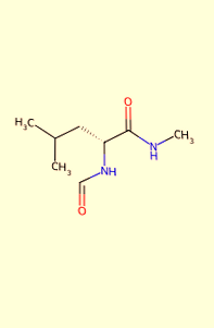 CNC(=O)[C@@H](CC(C)C)NC=O